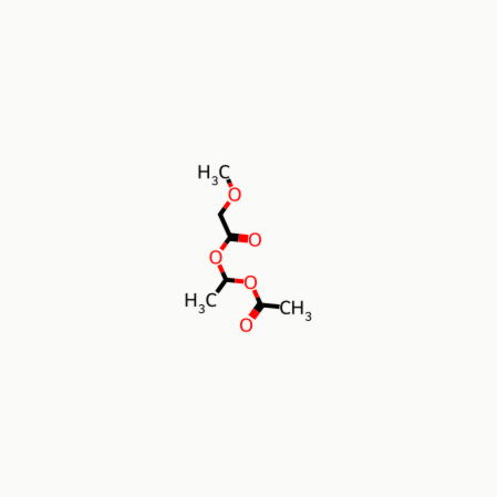 COCC(=O)OC(C)OC(C)=O